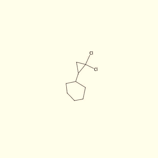 ClC1(Cl)C[C]1C1CCCCC1